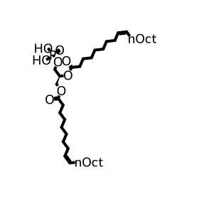 CCCCCCCC/C=C\CCCCCCCC(=O)OC[C@@H](COP(=O)(O)O)OC(=O)CCCCCCC/C=C\CCCCCCCC